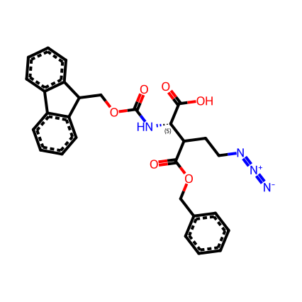 [N-]=[N+]=NCCC(C(=O)OCc1ccccc1)[C@H](NC(=O)OCC1c2ccccc2-c2ccccc21)C(=O)O